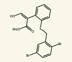 COC(=O)C(=CO)c1ccccc1SCc1cc(Br)ccc1Br